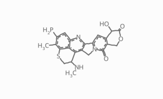 CNC1CSc2c(C)c(P)cc3nc4c(c1c23)Cn1c-4cc2c(c1=O)COC(=O)C2O